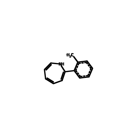 [CH2]c1ccccc1C1=CC=CC=CN1